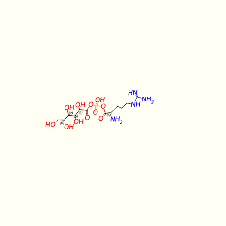 N=C(N)NCCC[C@H](N)C(=O)OP(=O)(O)OC(=O)[C@H](O)[C@@H](O)[C@H](O)[C@H](O)CO